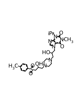 Cc1ccc(S(=O)(=O)CC(O)CN2CCN(CC(O)Cn3cnc4c3c(=O)n(C)c(=O)n4C(C)C)CC2)cc1